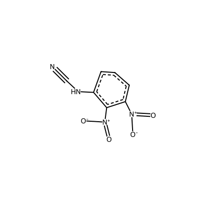 N#CNc1cccc([N+](=O)[O-])c1[N+](=O)[O-]